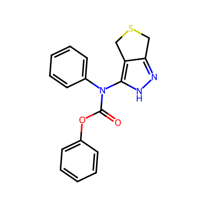 O=C(Oc1ccccc1)N(c1ccccc1)c1[nH]nc2c1CSC2